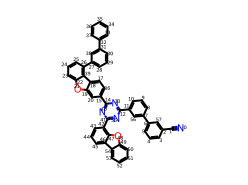 N#Cc1cccc(-c2cccc(-c3nc(-c4ccc5c(c4)oc4cccc(-c6cccc(-c7ccccc7)c6)c45)nc(-c4cccc5c4oc4ccccc45)n3)c2)c1